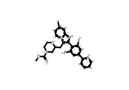 COC(=O)N1CCOC(Cc2c(-c3c(F)cc(-c4ccccn4)cc3F)nc3cc(C)ccn23)C1